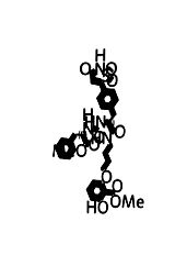 COC(=O)c1c(O)cccc1OCCCCNC(=O)[C@H](Cc1ccc(C2=CC(=O)NS2(=O)=O)cc1)NC(=O)N[C@@H](Cc1ccccc1)C(=O)OC